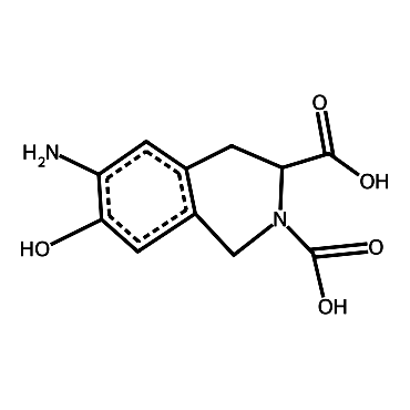 Nc1cc2c(cc1O)CN(C(=O)O)C(C(=O)O)C2